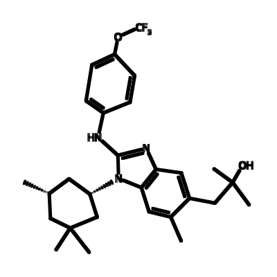 Cc1cc2c(cc1CC(C)(C)O)nc(Nc1ccc(OC(F)(F)F)cc1)n2[C@H]1C[C@@H](C)CC(C)(C)C1